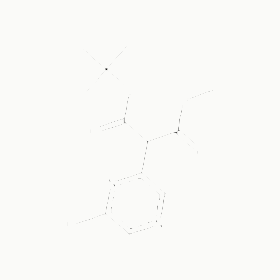 COC(=O)C(C(=O)OC(C)(C)C)c1cncc(Cl)n1